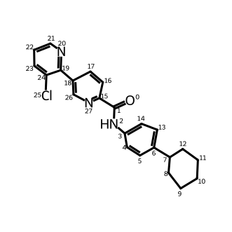 O=C(Nc1ccc(C2CCCCC2)cc1)c1ccc(-c2ncccc2Cl)cn1